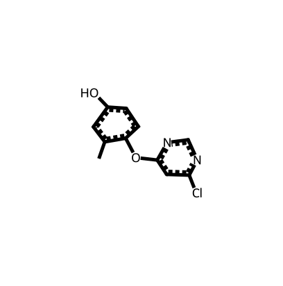 Cc1cc(O)ccc1Oc1cc(Cl)ncn1